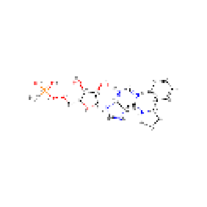 CP(=O)(O)OOC[C@H]1O[C@@H](n2cnc3c(N4CCCC4c4ccccc4)ncnc32)[C@H](O)[C@@H]1O